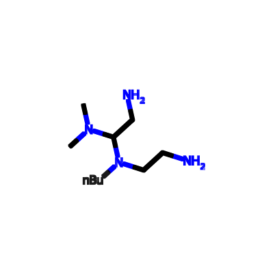 CCCCN(CCN)C(CN)N(C)C